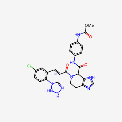 COC(=O)Nc1ccc(NC(=O)C2c3[nH]cnc3CCN2C(=O)/C=C/c2cc(Cl)ccc2N2C=NNN2)cc1